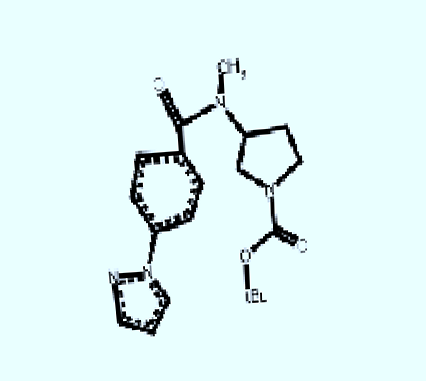 CN(C(=O)c1ccc(-n2cccn2)cc1)C1CCN(C(=O)OC(C)(C)C)C1